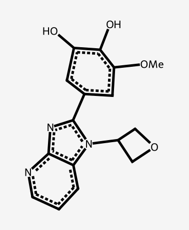 COc1cc(-c2nc3ncccc3n2C2COC2)cc(O)c1O